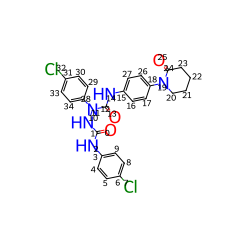 O=C(Nc1ccc(Cl)cc1)NN(C(=O)Nc1ccc(N2CCCCC2=O)cc1)c1ccc(Cl)cc1